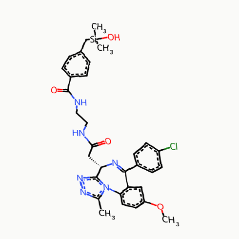 COc1ccc2c(c1)C(c1ccc(Cl)cc1)=N[C@@H](CC(=O)NCCNC(=O)c1ccc(C[Si](C)(C)O)cc1)c1nnc(C)n1-2